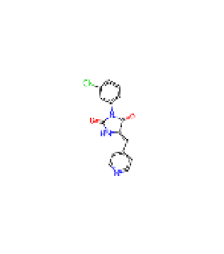 O=C1N/C(=C\c2ccncc2)C(=O)N1c1cccc(Cl)c1